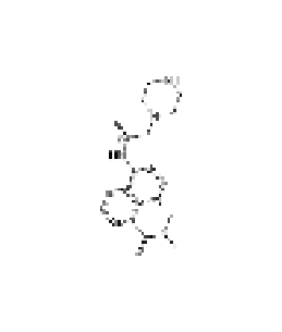 C=C(c1cccc2c(N[C@@H](C)CN3CCNCC3)ncnc12)N(C)C